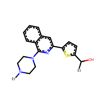 CCC(O)c1ccc(-c2cc3ccccc3c(N3CCN(CC)CC3)n2)s1